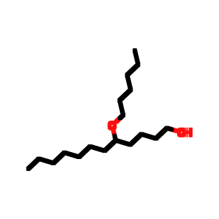 CCCCCCCC(CCCCO)OCCCCCC